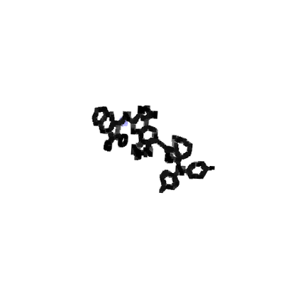 Cc1ccc(N(c2ccc(C)cc2)c2sc(-c3cc4c(cc(/N=c5\c(=O)c(=O)c6cc7ccccc7cc56)c5nsnc54)c4nsnc34)c3ccccc23)cc1